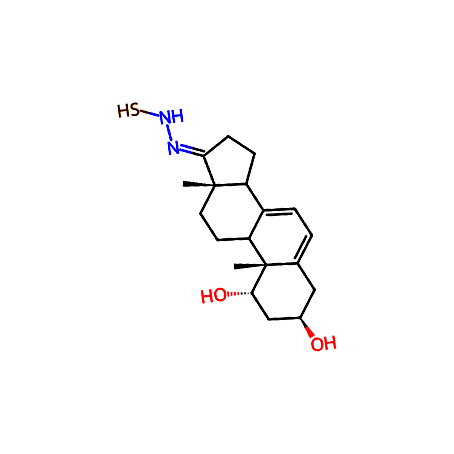 C[C@]12C(=CC=C3C1CC[C@]1(C)/C(=N/NS)CCC31)C[C@@H](O)C[C@@H]2O